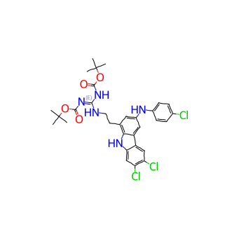 CC(C)(C)OC(=O)/N=C(\NCCc1cc(Nc2ccc(Cl)cc2)cc2c1[nH]c1cc(Cl)c(Cl)cc12)NC(=O)OC(C)(C)C